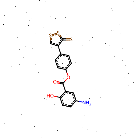 Nc1ccc(O)c(C(=O)Oc2ccc(-c3cssc3=S)cc2)c1